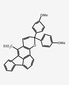 CCOC(=O)c1c2c(c3cccc4c3c1-c1ccccc1-4)OC(c1ccc(OC)cc1)(c1ccc(OC)cc1)C=C2